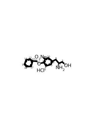 Cl.N[C@H](CO)Cc1ccc(OCc2ccccc2)c([N+](=O)[O-])c1